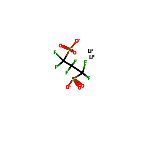 O=S(=O)([O-])C(F)(F)C(F)(F)C(F)(F)S(=O)(=O)[O-].[Li+].[Li+]